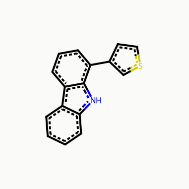 c1ccc2c(c1)[nH]c1c(-c3ccsc3)cccc12